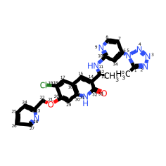 Cc1nnnn1-c1ccnc(N[C@@H](C)c2cc3cc(Cl)c(OCc4ccccn4)cc3[nH]c2=O)c1